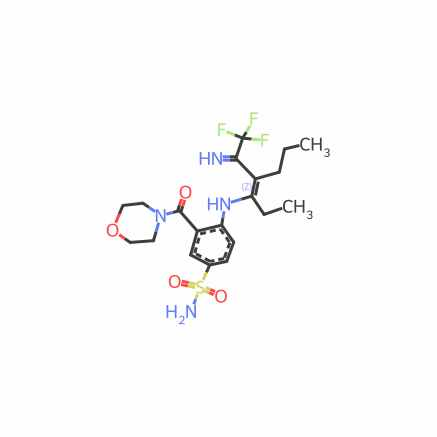 CCC/C(C(=N)C(F)(F)F)=C(\CC)Nc1ccc(S(N)(=O)=O)cc1C(=O)N1CCOCC1